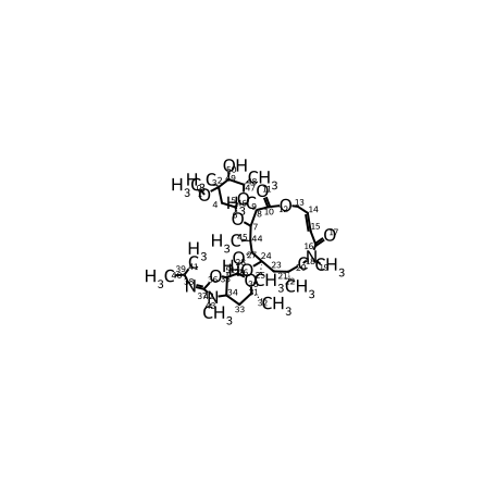 CO[C@]1(C)C[C@H](OC2C(C)C(=O)OC/C=C/C(=O)N(C)C[C@H](C)C[C@@](C)(O)[C@H](O[C@@H]3O[C@H](C)CC4[C@H]3O/C(=N\C(C)C)N4C)[C@H]2C)O[C@@H](C)[C@@H]1O